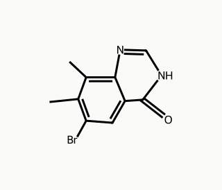 Cc1c(Br)cc2c(=O)[nH]cnc2c1C